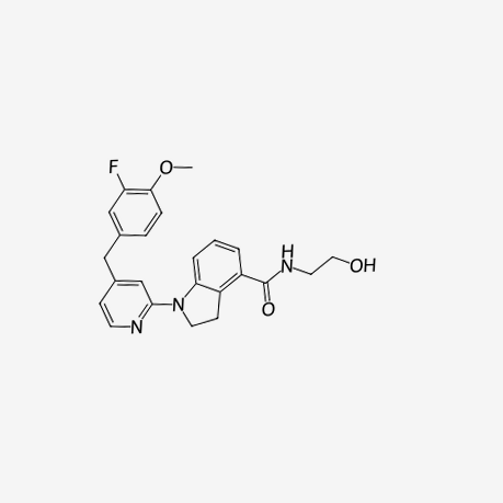 COc1ccc(Cc2ccnc(N3CCc4c(C(=O)NCCO)cccc43)c2)cc1F